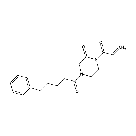 C=CC(=O)N1CCN(C(=O)CCCCc2ccccc2)CC1=O